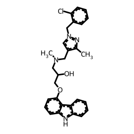 Cc1nn(Cc2ccccc2Cl)cc1CN(C)CC(O)COc1cccc2[nH]c3ccccc3c12